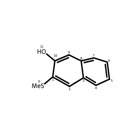 CSc1cc2ccccc2cc1O